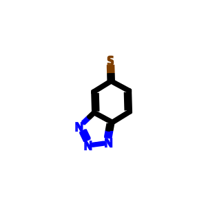 S=C1C=CC2=NN=NC2=C1